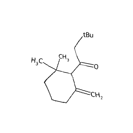 C=C1CCCC(C)(C)C1C(=O)CC(C)(C)C